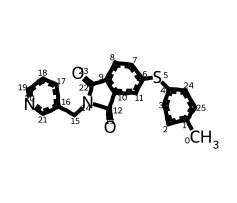 Cc1ccc(Sc2ccc3c(c2)C(=O)N(Cc2cccnc2)C3=O)cc1